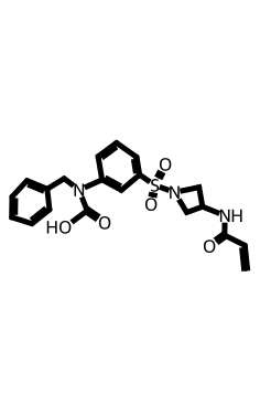 C=CC(=O)NC1CN(S(=O)(=O)c2cccc(N(Cc3ccccc3)C(=O)O)c2)C1